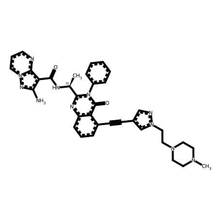 C[C@H](NC(=O)c1c(N)nn2cccnc12)c1nc2cccc(C#Cc3cnn(CCN4CCN(C)CC4)c3)c2c(=O)n1-c1ccccc1